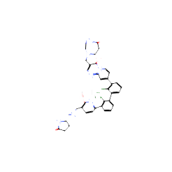 COc1nc(-c2cccc(-c3cccc(-c4ccn5c(=O)c(CN6CCNC(=O)CC6)cnc5c4)c3Cl)c2Cl)ccc1CNC[C@@H]1CCC(=O)N1